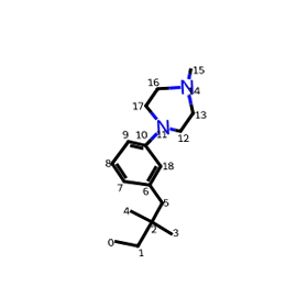 CCC(C)(C)Cc1cccc(N2CCN(C)CC2)c1